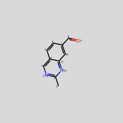 Cc1ncc2ccc(C=O)cc2n1